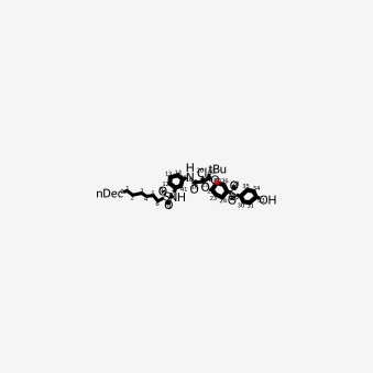 CCCCCCCCCCCCCCCCS(=O)(=O)Nc1cccc(NC(=O)C(Cl)(Oc2ccc(S(=O)(=O)c3ccc(O)cc3)cc2)C(=O)C(C)(C)C)c1